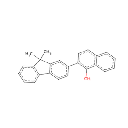 CC1(C)c2ccccc2-c2ccc(-c3ccc4ccccc4c3O)cc21